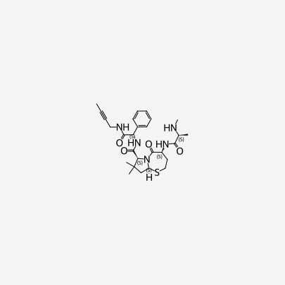 CC#CCNC(=O)[C@@H](NC(=O)[C@H]1N2C(=O)[C@@H](NC(=O)[C@H](C)NC)CCS[C@H]2CC1(C)C)c1ccccc1